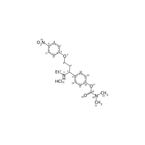 CCNC(CCOc1ccc([N+](=O)[O-])cc1)c1ccc(OC(=O)N(C)C)cc1.Cl